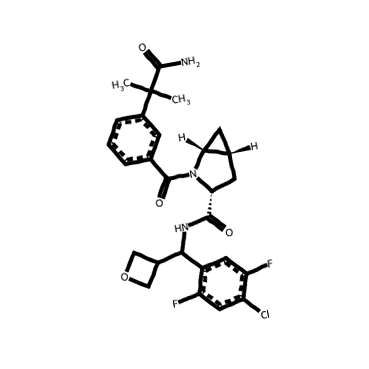 CC(C)(C(N)=O)c1cccc(C(=O)N2[C@@H](C(=O)NC(c3cc(F)c(Cl)cc3F)C3COC3)C[C@H]3C[C@H]32)c1